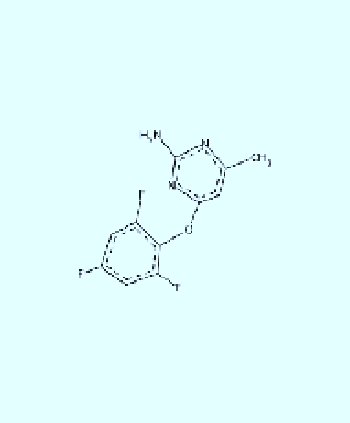 Cc1cc(Oc2c(F)cc(F)cc2F)nc(N)n1